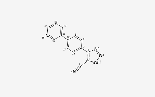 N#Cc1[nH]nnc1-c1ccc(-c2cccnc2)cc1